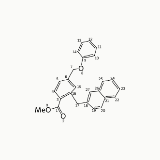 COC(=O)c1ccc(COc2ccccc2)cc1Cc1ccc2ccccc2c1